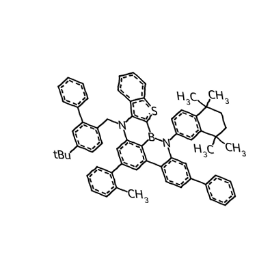 Cc1ccccc1-c1cc2c3c(c1)N(Cc1ccc(C(C)(C)C)cc1-c1ccccc1)c1c(sc4ccccc14)B3N(c1ccc3c(c1)C(C)(C)CCC3(C)C)c1cc(-c3ccccc3)ccc1-2